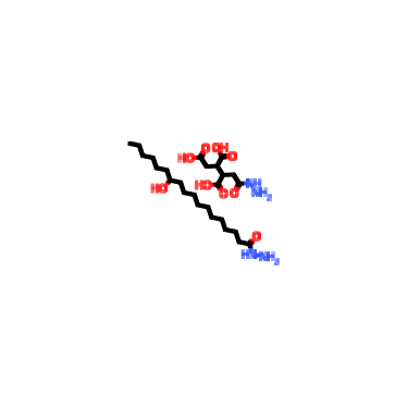 CCCCCCC(O)CCCCCCCCCCC(=O)NN.NNC(=O)CC(C(=O)O)C(CC(=O)O)C(=O)O